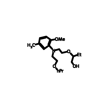 CCCOCCN(CCOC(CC)CO)c1cc(C)ccc1OC